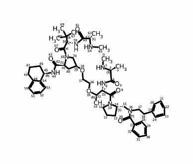 CN[C@@H](C)C(=O)N[C@H](C(=O)N1CCC[C@H]1CN(CCc1ccccc1)C(=O)c1ccccc1)[C@@H](C)OCCO[C@H]1C[C@@H](C(=O)N[C@@H]2CCCc3ccccc32)N(C(=O)[C@@H](NC(=O)[C@H](C)NC)C(C)(C)C)C1